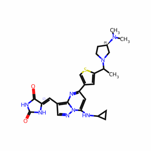 CC(c1cc(-c2cc(NC3CC3)n3ncc(/C=C4\NC(=O)NC4=O)c3n2)cs1)N1CC[C@@H](N(C)C)C1